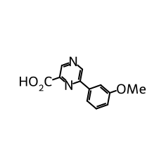 COc1cccc(-c2cncc(C(=O)O)n2)c1